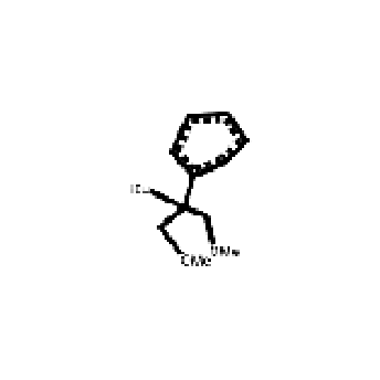 CCC(C)C(COC)(COC)c1ccccc1